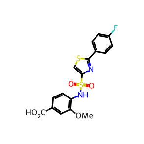 COc1cc(C(=O)O)ccc1NS(=O)(=O)c1csc(-c2ccc(F)cc2)n1